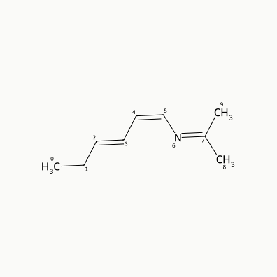 CC/C=C/C=C\N=C(C)C